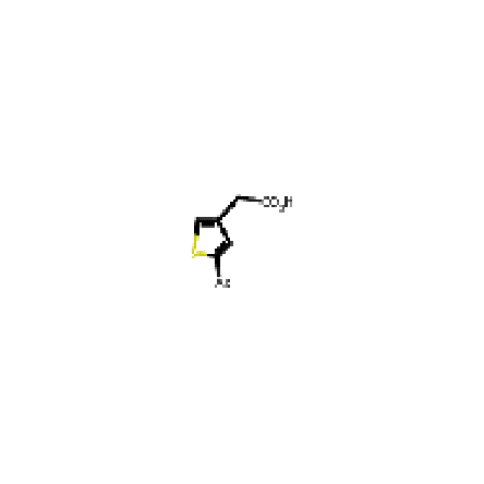 CC(=O)c1cc(CC(=O)O)cs1